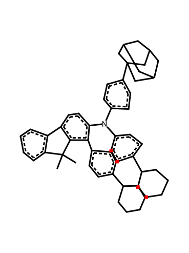 CC1(C)c2ccccc2-c2ccc(N(c3ccc(C4CCCCC4)cc3)c3ccc(C45CC6CC(CC(C6)C4)C5)cc3)c(-c3ccc(C4CCCCC4)cc3)c21